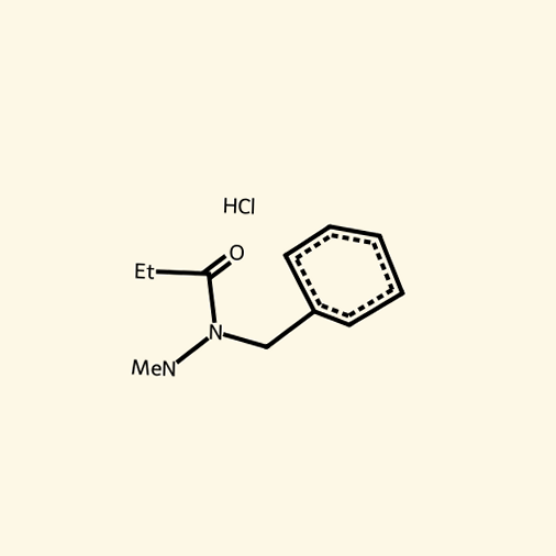 CCC(=O)N(Cc1ccccc1)NC.Cl